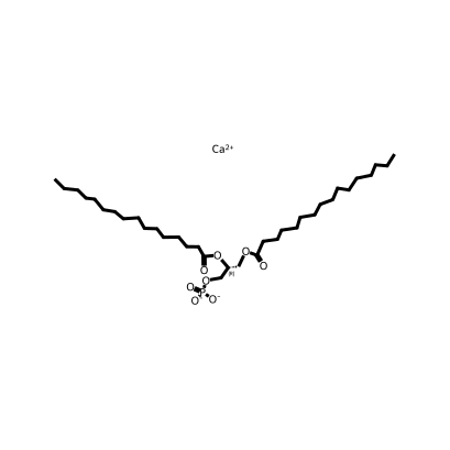 CCCCCCCCCCCCCCCC(=O)OC[C@H](COP(=O)([O-])[O-])OC(=O)CCCCCCCCCCCCCCC.[Ca+2]